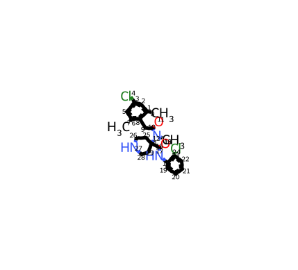 Cc1cc(Cl)cc(C)c1CC(=O)N(C)C1(C(=O)Nc2ccccc2Cl)CCNCC1